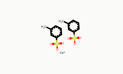 Cc1cccc(S(=O)(=O)[O-])c1.Cc1cccc(S(=O)(=O)[O-])c1.[Ca+2]